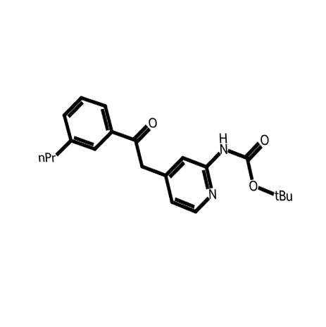 CCCc1cccc(C(=O)Cc2ccnc(NC(=O)OC(C)(C)C)c2)c1